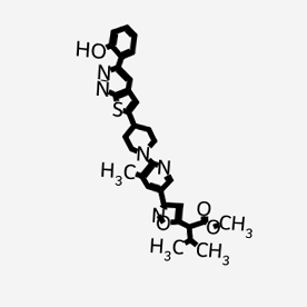 COC(=O)C(c1cc(-c2cnc(N3CCC(c4cc5cc(-c6ccccc6O)nnc5s4)CC3)c(C)c2)no1)C(C)C